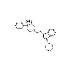 CC1CN(CCc2cn(C3CCCCC3)c3ccccc23)CCC1(O)c1ccccc1